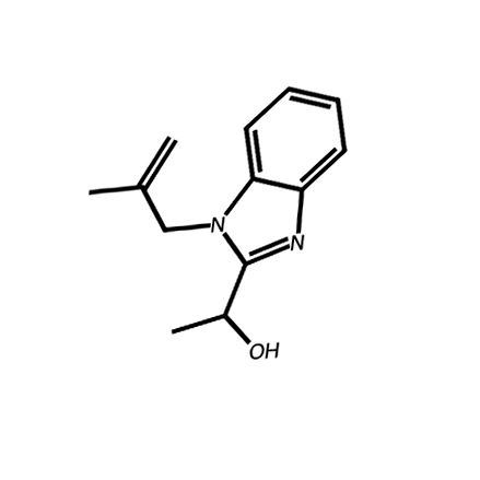 C=C(C)Cn1c(C(C)O)nc2ccccc21